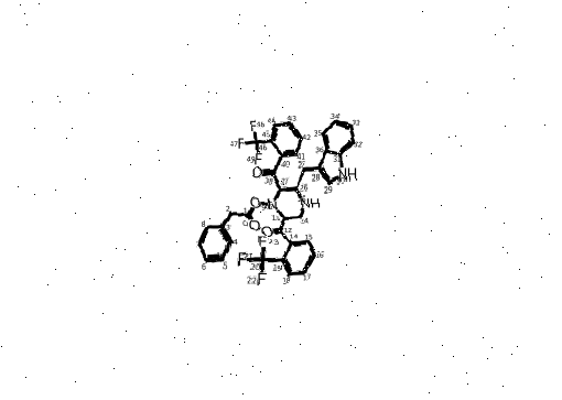 O=C(Cc1ccccc1)ON1C(C(=O)c2ccccc2C(F)(F)F)CN[C@H](Cc2c[nH]c3ccccc23)C1C(=O)c1ccccc1C(F)(F)F